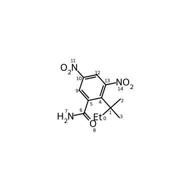 CCC(C)(C)c1c(C(N)=O)cc([N+](=O)[O-])cc1[N+](=O)[O-]